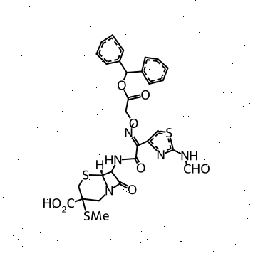 CSC1(C(=O)O)CS[C@@H]2C(NC(=O)C(=NOCC(=O)OC(c3ccccc3)c3ccccc3)c3csc(NC=O)n3)C(=O)N2C1